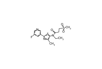 CCN(C(=O)CCS(C)(=O)=O)c1sc(-c2cncc(F)c2)nc1C